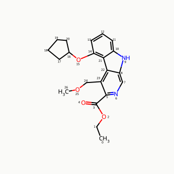 CCOC(=O)c1ncc2[nH]c3cccc(OC4CCCC4)c3c2c1COC